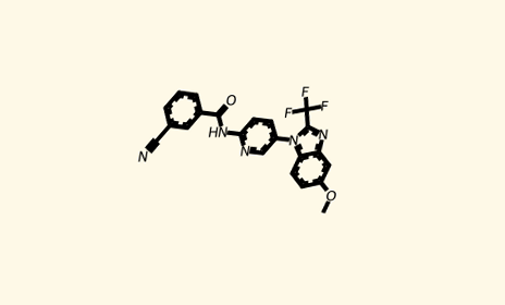 COc1ccc2c(c1)nc(C(F)(F)F)n2-c1ccc(NC(=O)c2cccc(C#N)c2)nc1